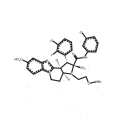 CC(C)(C)OCCN1[C@H]2CCn3c(nc4cc(C(=O)O)ccc43)[C@H]2[C@H](c2cccc(Cl)c2F)[C@]1(C)C(=O)Nc1cccc(Cl)c1